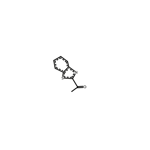 CC(=O)c1nc2ccccc2s1